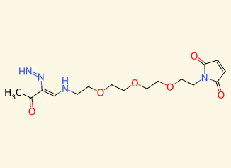 CC(=O)/C(=C/NCCOCCOCCOCCN1C(=O)C=CC1=O)N=N